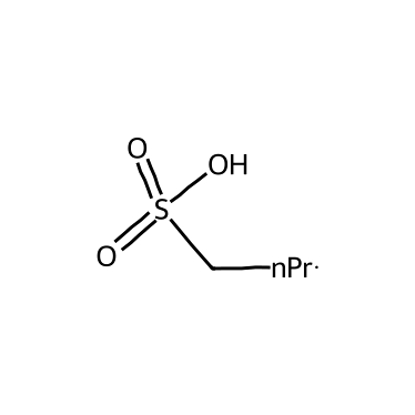 CC[CH]CS(=O)(=O)O